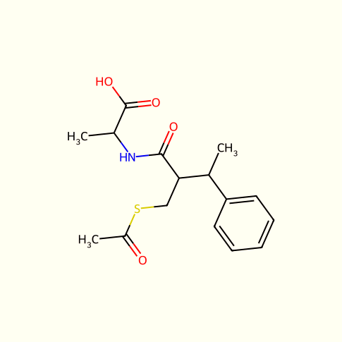 CC(=O)SCC(C(=O)NC(C)C(=O)O)C(C)c1ccccc1